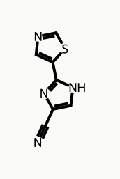 N#Cc1c[nH]c(-c2cncs2)n1